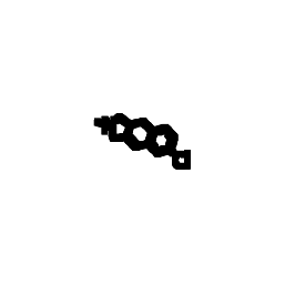 CN1CC2=Cc3cc(Cl)ccc3CC2C1